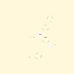 CO/N=C(/c1ccc(-c2ccccc2)cc1)c1ccc2c(c1)sc(=O)n2CCOc1ccc(C=C(C(=O)O)C(=O)O)cc1